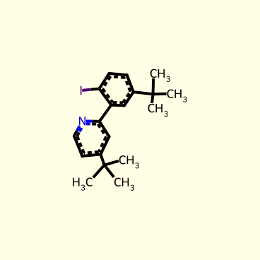 CC(C)(C)c1ccnc(-c2cc(C(C)(C)C)ccc2I)c1